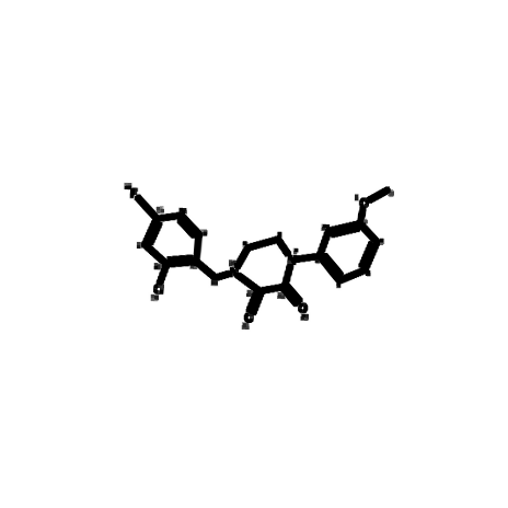 COc1cccc(N2CCN(Cc3ccc(F)cc3Cl)C(=O)C2=O)c1